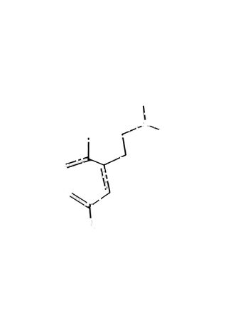 CN(C)CC/C(=C/C(=O)O)C(=O)O